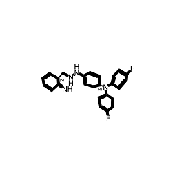 N=C1C=CC=C[C@H]1CNNC1=CC[C@@H](N(C2=CC=C(F)CC2)c2ccc(F)cc2)C=C1